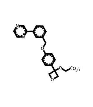 O=C(O)COC1(c2ccc(OCc3cccc(-c4cnccn4)c3)cc2)COC1